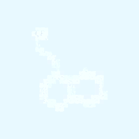 FC(F)(F)CCc1cccc2ccccc12